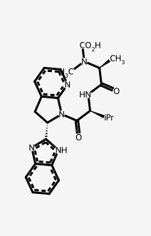 CC(C)[C@H](NC(=O)[C@H](C)N(C)C(=O)O)C(=O)N1c2ncccc2C[C@H]1c1nc2ccccc2[nH]1